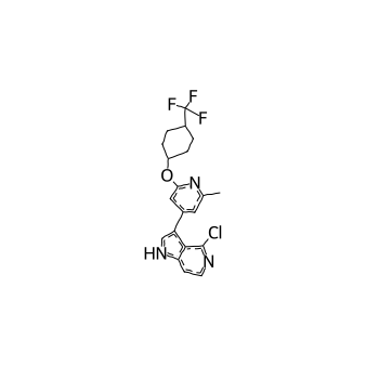 Cc1cc(-c2c[nH]c3ccnc(Cl)c23)cc(OC2CCC(C(F)(F)F)CC2)n1